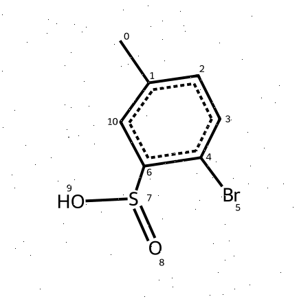 Cc1ccc(Br)c(S(=O)O)c1